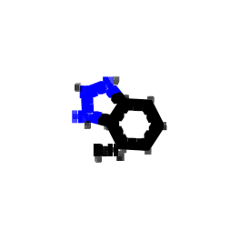 [BaH2].c1ccc2[nH]nnc2c1